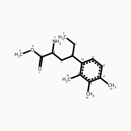 CCC(CC(N)C(=O)OC)c1ccc(C)c(C)c1C